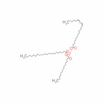 CCCCC/C=C\C/C=C\CCCCCCCCCCCC(=O)OC[C@H](COC(=O)CCCCCCCCCCCCC)OC(=O)CCCCCCCCCCCCCCCCCCCCC